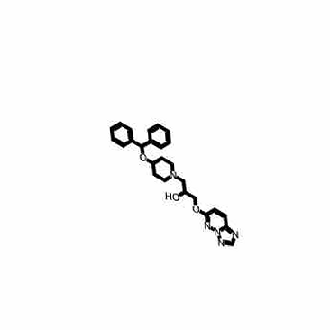 OC(COc1ccc2ncnn2n1)CN1CCC(OC(c2ccccc2)c2ccccc2)CC1